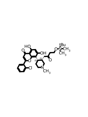 CN1CC[C@H](c2c(O)cc(O)c3c(=O)cc(-c4ccccc4Cl)oc23)[C@H](CC(=O)CCO[Si](C)(C)C(C)(C)C)C1